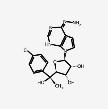 C[C@@](O)(c1ccc(Cl)cc1)[C@H]1O[C@@H](n2ccc3/c(=N\N)nc[nH]c32)[C@H](O)[C@@H]1O